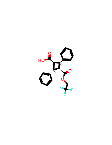 O=C(O)[C@H]1[C@@H](c2ccccc2)[C@H](C(=O)OCC(F)(F)F)[C@@H]1c1ccccc1